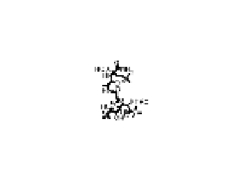 CC(=O)N[C@@H](C(=O)[Si](C)(C)C)[C@@H](OCC(=O)NC(C)C(=O)NC(CC[Si](C)(C)C)(C(N)=O)C(=O)O)[C@](O)([C@H](O)C(O)[Si](C)(C)C)[Si](C)(C)C